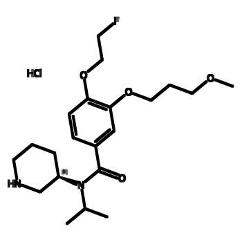 COCCCOc1cc(C(=O)N(C(C)C)[C@@H]2CCCNC2)ccc1OCCF.Cl